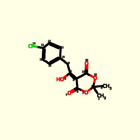 CC1(C)OC(=O)C(=C(O)Cc2ccc(Cl)cc2)C(=O)O1